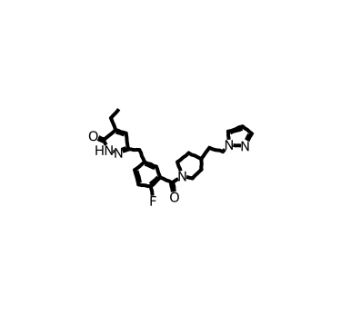 CCc1cc(Cc2ccc(F)c(C(=O)N3CCC(CCn4cccn4)CC3)c2)n[nH]c1=O